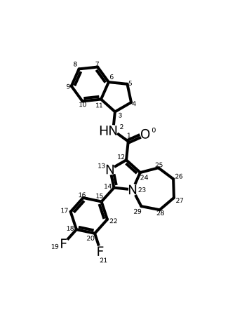 O=C(NC1CCc2ccccc21)c1nc(-c2ccc(F)c(F)c2)n2c1CCCCC2